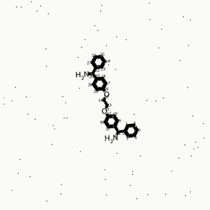 NC(c1ccccc1)c1ccc(OCCOc2ccc(C(N)c3ccccc3)cc2)cc1